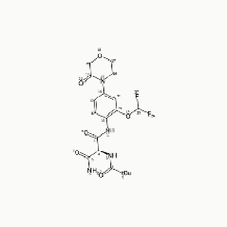 CC(C)(C)C(=O)N[C@@H](C(N)=O)C(=O)Nc1ccc(N2CCOCC2=O)cc1OC(F)F